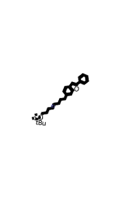 CC(C)(C)[Si](C)(C)OCCC/C=C/CCCc1ccc2cc(-c3ccccc3)oc2c1